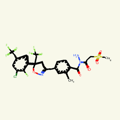 Cc1cc(C2=NOC(c3cc(C(F)(F)F)cc(Cl)c3F)(C(F)(F)F)C2)ccc1C(=O)N(N)C(=O)CS(C)(=O)=O